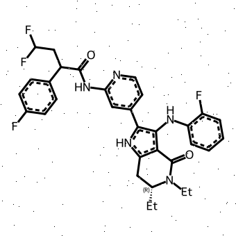 CC[C@@H]1Cc2[nH]c(-c3ccnc(NC(=O)C(CC(F)F)c4ccc(F)cc4)c3)c(Nc3ccccc3F)c2C(=O)N1CC